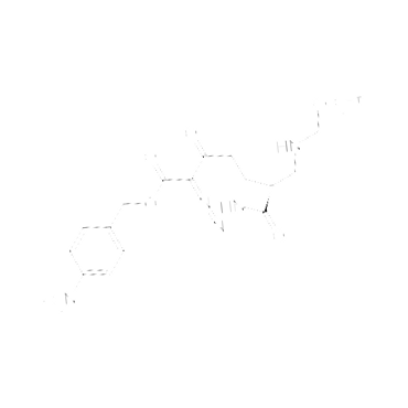 CCOC(=O)CN[C@H](C)[C@H]1C(=O)N[C@@H]1[C@@H](C)C(=O)C(=[N+]=[N-])C(=O)OCc1ccc([N+](=O)[O-])cc1